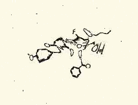 CCCCO[C@H]1C(F)[C@H](n2ccc(=O)n(Cc3ccc(OC)cc3)c2=O)O[C@@]1(CO)COC(=O)c1ccccc1